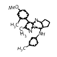 COc1ccc(-c2c(C)nn3c(Nc4ccc(C)cc4)c4c(nc23)CCC4)c(C)c1